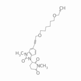 C#CCOCCCCCCOCC#Cc1ccc2c(c1)n(C)c(=O)n2C1CCC(=O)N(C)C1=O